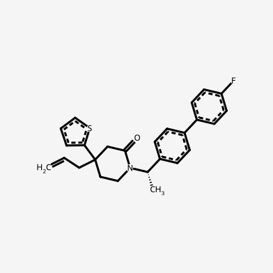 C=CCC1(c2cccs2)CCN([C@@H](C)c2ccc(-c3ccc(F)cc3)cc2)C(=O)C1